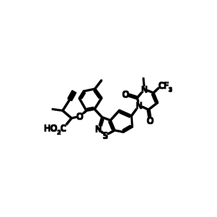 C#CC(C)C(Oc1ccc(C)cc1-c1nsc2ccc(-n3c(=O)cc(C(F)(F)F)n(C)c3=O)cc12)C(=O)O